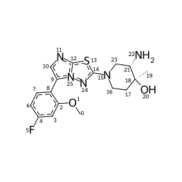 COc1cc(F)ccc1-c1cnc2sc(N3CC[C@](C)(O)[C@@H](N)C3)nn12